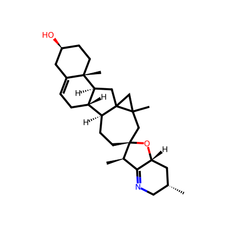 C[C@@H]1CN=C2[C@@H](C)[C@@]3(CC[C@H]4[C@@H]5CC=C6C[C@@H](O)CC[C@]6(C)[C@H]5CC45CC5(C)C3)O[C@@H]2C1